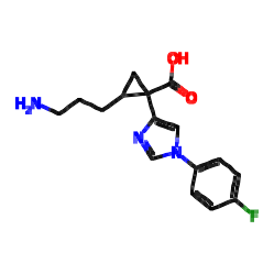 NCCCC1CC1(C(=O)O)c1cn(-c2ccc(F)cc2)cn1